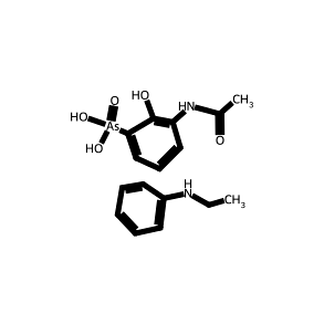 CC(=O)Nc1cccc([As](=O)(O)O)c1O.CCNc1ccccc1